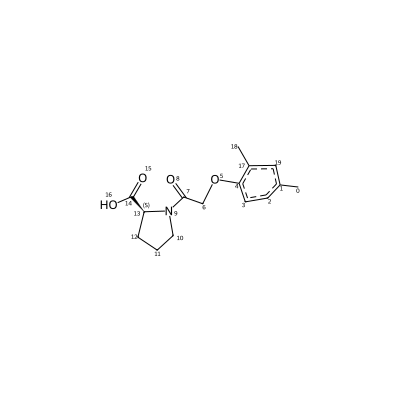 Cc1ccc(OCC(=O)N2CCC[C@H]2C(=O)O)c(C)c1